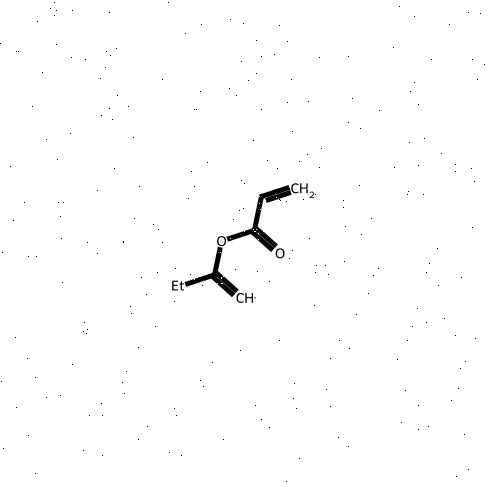 [CH]=C(CC)OC(=O)C=C